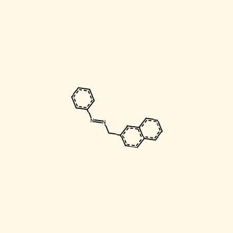 c1ccc(N=NCc2ccc3ccccc3c2)cc1